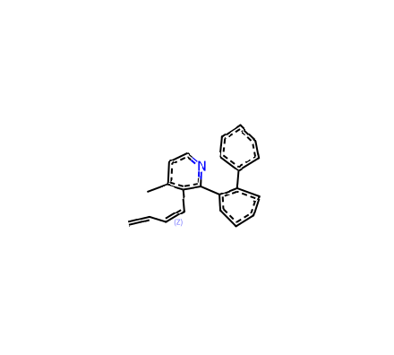 C=C/C=C\c1c(C)ccnc1-c1ccccc1-c1ccccc1